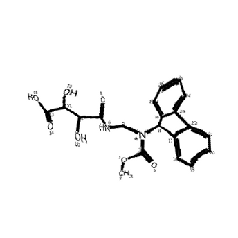 COC(=O)N(CNC(=O)C(O)C(O)C(=O)O)C1c2ccccc2-c2ccccc21